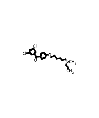 C=CCN(C)CCCCCCOc1ccc(C(=O)c2cc(Cl)cc(Cl)c2)cc1